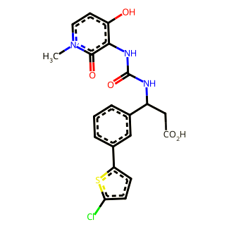 Cn1ccc(O)c(NC(=O)NC(CC(=O)O)c2cccc(-c3ccc(Cl)s3)c2)c1=O